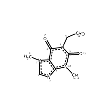 Cn1cnc2c1c(=O)n(CC=O)c(=O)n2C